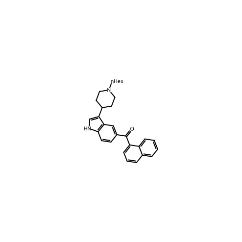 CCCCCCN1CCC(c2c[nH]c3ccc(C(=O)c4cccc5ccccc45)cc23)CC1